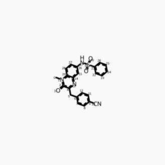 Cn1c(=O)c(Cc2ccc(C#N)cc2)nc2cc(NS(=O)(=O)c3ccccc3)ccc21